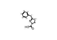 O=C(O)[C@@H]1CSC(Cc2ccccc2)=N1